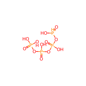 O=[PH](O)OP(=O)(O)OP(=O)(O)OP(=O)(O)O